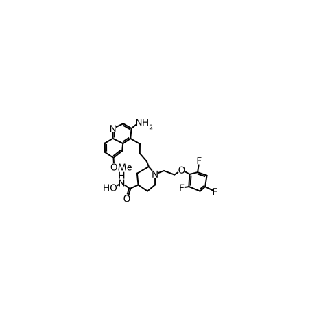 COc1ccc2ncc(N)c(CCCC3CC(C(=O)NO)CCN3CCOc3c(F)cc(F)cc3F)c2c1